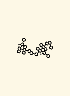 c1ccc(-c2ccc3c(c2)oc2cc4ccccc4c(-c4c5ccccc5c(-c5ccc6cc(-c7cccc(-c8c9ccccc9c(-c9c%10ccccc%10c(-c%10ccc%11cccc(-c%12ccccc%12)c%11c%10)c%10ccccc9%10)c9c8oc8cc(-c%10ccccc%10)ccc89)c7)ccc6c5)c5ccccc45)c23)cc1